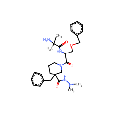 CN(C)NC(=O)C1(Cc2ccccc2)CCCN(C(=O)[C@@H](COCc2ccccc2)NC(=O)C(C)(C)N)C1